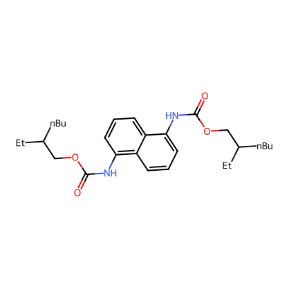 CCCCC(CC)COC(=O)Nc1cccc2c(NC(=O)OCC(CC)CCCC)cccc12